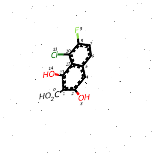 O=C(O)c1c(O)cc2ccc(F)c(Cl)c2c1O